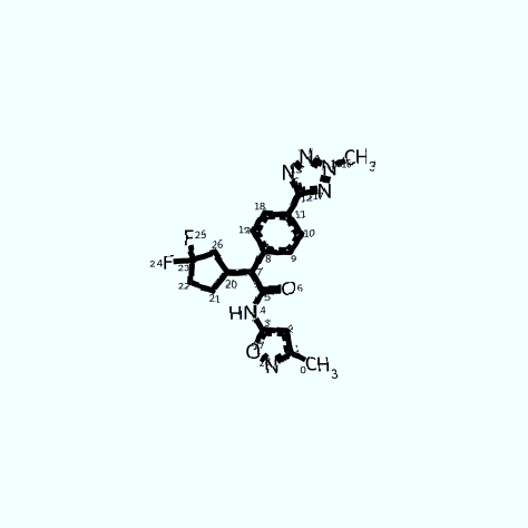 Cc1cc(NC(=O)C(c2ccc(-c3nnn(C)n3)cc2)C2CCC(F)(F)C2)on1